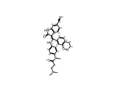 CN(C)CCC(=O)N(C)c1ccc(N/C(=C2\C(=O)Nc3cc(C#N)ccc32)c2ccc3c(c2)OOCC3)cc1